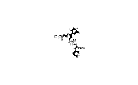 CN[C@H](CNC(=O)N(C)CCC(OCCNC(=O)O)c1cc(Cl)ccc1C)C[C@H]1CCCOC1